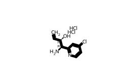 C=C[C@H](O)[C@H](N)c1cc(Cl)ccn1.Cl.Cl